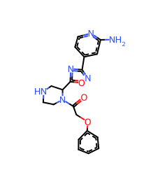 Nc1cc(-c2noc(C3CNCCN3C(=O)COc3ccccc3)n2)ccn1